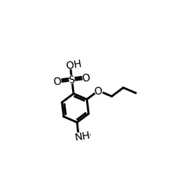 CCCOc1cc([NH])ccc1S(=O)(=O)O